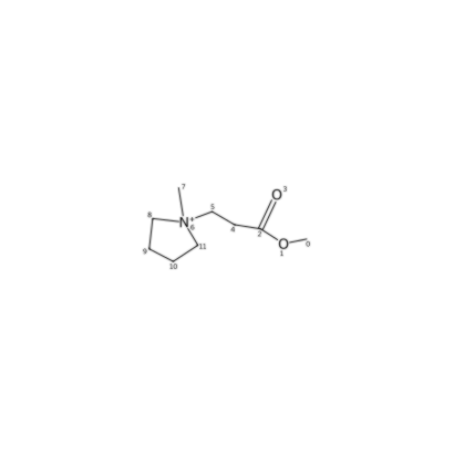 COC(=O)CC[N+]1(C)CCCC1